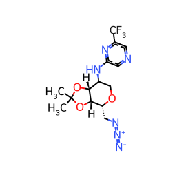 CC1(C)O[C@@H]2[C@H](O1)[C@@H](Nc1cncc(C(F)(F)F)n1)CO[C@@H]2CN=[N+]=[N-]